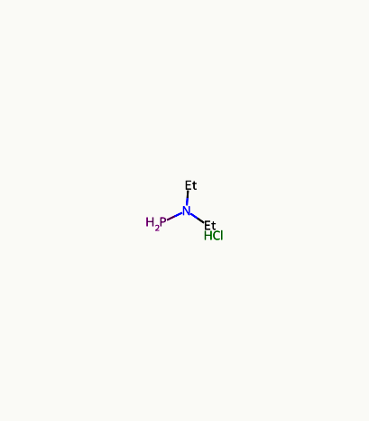 CCN(P)CC.Cl